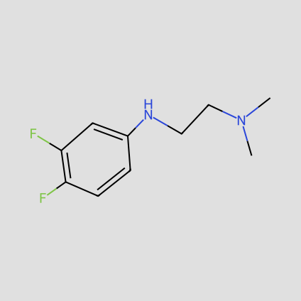 CN(C)CCNc1ccc(F)c(F)c1